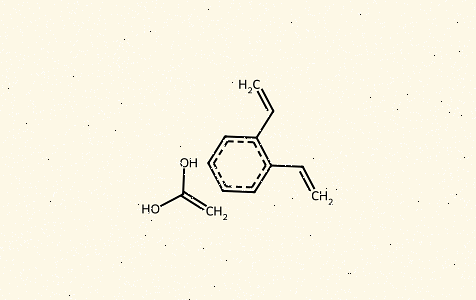 C=C(O)O.C=Cc1ccccc1C=C